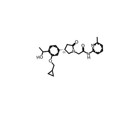 Cc1cccc(NC(=O)CN2C[C@H](c3ccc(C(C)O)c(OCC4CC4)c3)CC2=O)n1